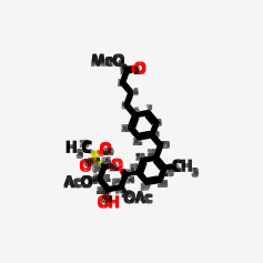 COC(=O)CCCc1ccc(Cc2cc([C@@H]3O[C@H](S(C)(=O)=O)[C@@H](OC(C)=O)[C@H](O)[C@H]3OC(C)=O)ccc2C)cc1